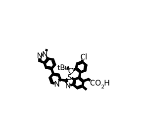 Cc1cc2nc(-c3cc(-c4ccc5c(cnn5C)c4)ccn3)sc2c(-c2ccc(Cl)cc2OC(C)(C)C)c1CC(=O)O